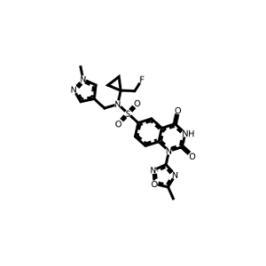 Cc1nc(-n2c(=O)[nH]c(=O)c3cc(S(=O)(=O)N(Cc4cnn(C)c4)C4(CF)CC4)ccc32)no1